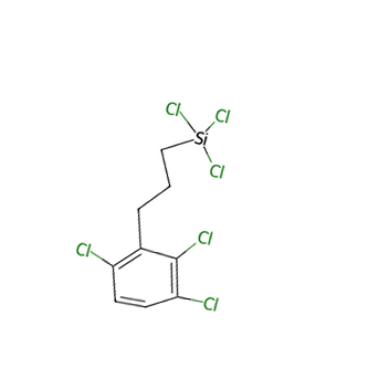 Clc1ccc(Cl)c(CCC[Si](Cl)(Cl)Cl)c1Cl